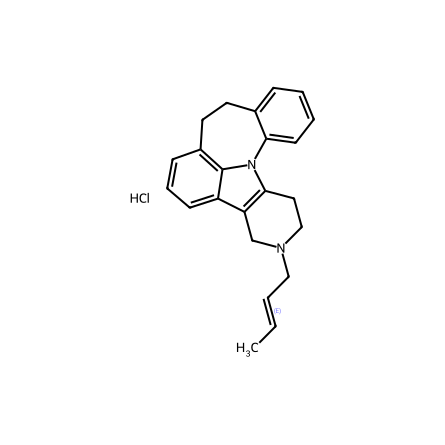 C/C=C/CN1CCc2c(c3cccc4c3n2-c2ccccc2CC4)C1.Cl